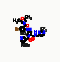 CNc1cncc(C(=O)N2C[C@H](Nc3c(C(=O)N4C[C@@H](C)O[C@@H](C)C4)cc(Br)cc3[N+](=O)[O-])C[C@H]2C(=O)NCc2ccnc(C(F)(F)F)n2)c1